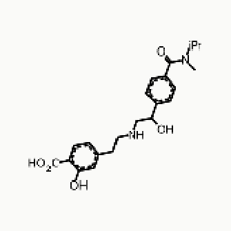 CC(C)N(C)C(=O)c1ccc(C(O)CNCCc2ccc(C(=O)O)c(O)c2)cc1